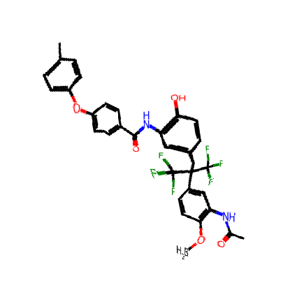 BOc1ccc(C(c2ccc(O)c(NC(=O)c3ccc(Oc4ccc(C)cc4)cc3)c2)(C(F)(F)F)C(F)(F)F)cc1NC(C)=O